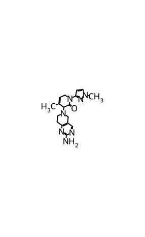 CC1=CCN(c2ccn(C)n2)C(=O)C1N1CCc2nc(N)ncc2C1